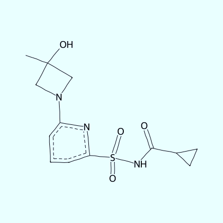 CC1(O)CN(c2cccc(S(=O)(=O)NC(=O)C3CC3)n2)C1